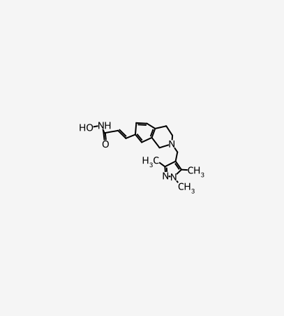 Cc1nn(C)c(C)c1CN1CCc2ccc(C=CC(=O)NO)cc2C1